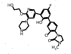 CN1CCN(c2ccc(-c3cc(F)cc(-c4cnc(OCCO)c(N5CCNCC5)c4)c3O)cc2Cl)C1=O